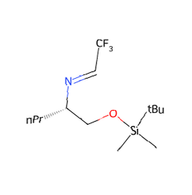 CCC[C@@H](CO[Si](C)(C)C(C)(C)C)N=CC(F)(F)F